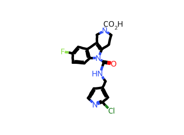 O=C(O)N1CCc2c(c3cc(F)ccc3n2C(=O)NCc2ccnc(Cl)c2)C1